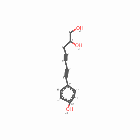 OCC(O)CC#CC#Cc1ccc(O)cc1